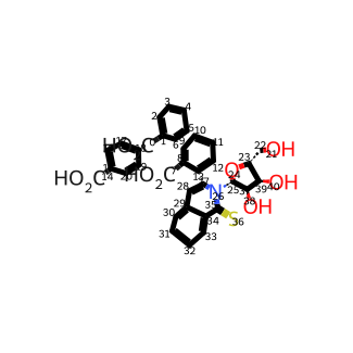 O=C(O)c1ccccc1.O=C(O)c1ccccc1.O=C(O)c1ccccc1.OC[C@H]1O[C@@H](n2ccc3ccccc3c2=S)[C@H](O)[C@@H]1O